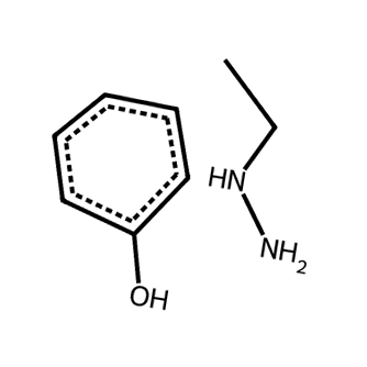 CCNN.Oc1ccccc1